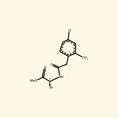 COC(=O)[C@@H](NC(=O)Cc1ccc(Cl)cc1C)C(C)C